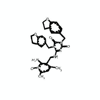 Cc1cc(C)[n+]([O-])c(N)c1CNc1nc(=O)n(Cc2ccc3c(c2)CCO3)c(=O)n1Cc1ccc2c(c1)CCO2